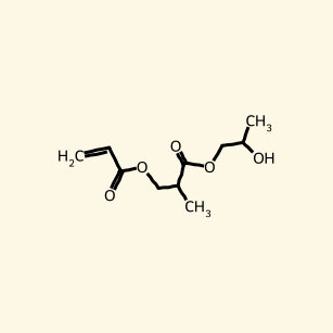 C=CC(=O)OCC(C)C(=O)OCC(C)O